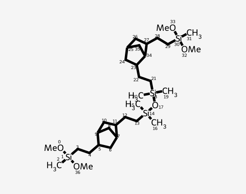 CO[Si](C)(CCC1CC2CC1CC2CC[Si](C)(C)O[Si](C)(C)CCC1CC2CC(CC[Si](C)(OC)OC)C1C2)OC